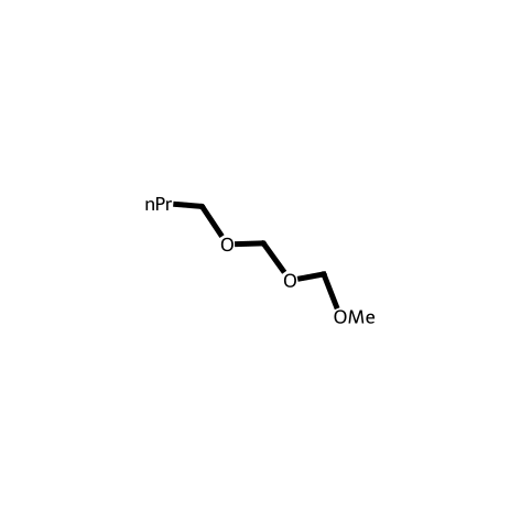 CCCCOCOCOC